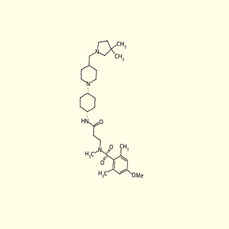 COc1cc(C)c(S(=O)(=O)N(C)CCC(=O)N[C@H]2CC[C@@H](N3CCC(CN4CCC(C)(C)C4)CC3)CC2)c(C)c1